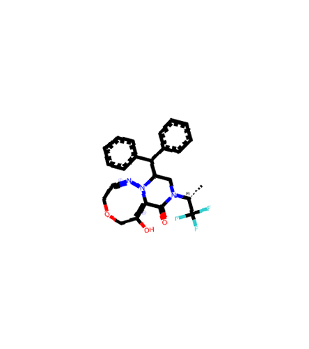 C[C@@H](N1CC(C(c2ccccc2)c2ccccc2)N2/N=C\COC/C(O)=C\2C1=O)C(F)(F)F